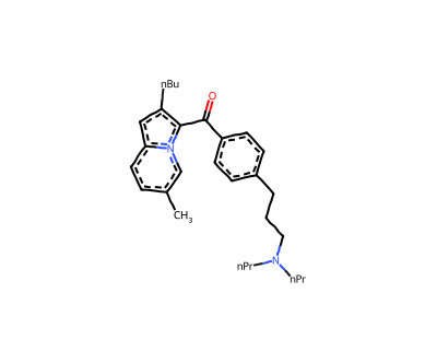 CCCCc1cc2ccc(C)cn2c1C(=O)c1ccc(CCCN(CCC)CCC)cc1